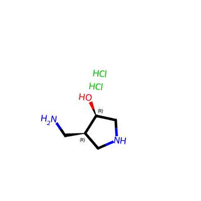 Cl.Cl.NC[C@@H]1CNC[C@@H]1O